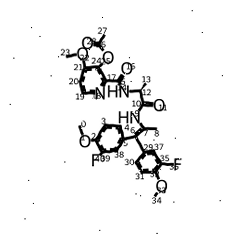 COc1ccc(C(=C(C)NC(=O)[C@H](C)NC(=O)c2nccc(OC)c2OC(C)=O)c2ccc(OC)c(F)c2)cc1F